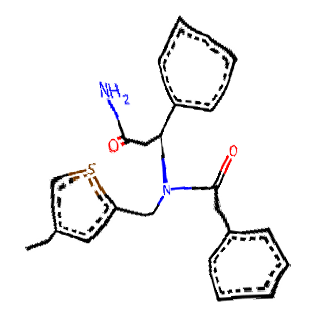 Cc1csc(CN(C(=O)c2ccccc2)[C@@H](C(N)=O)c2ccccc2)c1